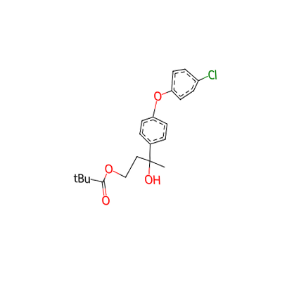 CC(C)(C)C(=O)OCCC(C)(O)c1ccc(Oc2ccc(Cl)cc2)cc1